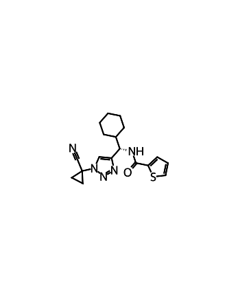 N#CC1(n2cc([C@@H](NC(=O)c3cccs3)C3CCCCC3)nn2)CC1